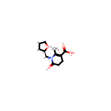 CC1=C(C(=O)O)CCC(=O)N1C[C@H]1CCCO1